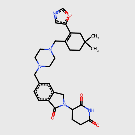 CC1(C)CCC(CN2CCN(Cc3ccc4c(c3)CN(C3CCC(=O)NC3=O)C4=O)CC2)=C(c2cnco2)C1